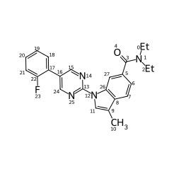 CCN(CC)C(=O)c1ccc2c(C)cn(-c3ncc(-c4ccccc4F)cn3)c2c1